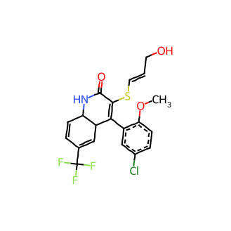 COc1ccc(Cl)cc1C1=C(SC=CCO)C(=O)NC2C=CC(C(F)(F)F)=CC12